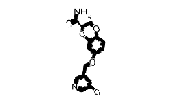 NC(=O)[C@H]1COc2ccc(OCc3cncc(Cl)c3)cc2O1